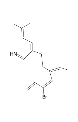 C=C/C(Br)=C\C(=C/C)CC/C(C=N)=C/C=C(C)C